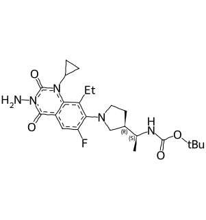 CCc1c(N2CC[C@@H]([C@H](C)NC(=O)OC(C)(C)C)C2)c(F)cc2c(=O)n(N)c(=O)n(C3CC3)c12